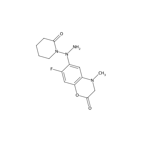 CN1CC(=O)Oc2cc(F)c(N(N)N3CCCCC3=O)cc21